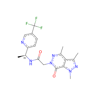 Cc1nn(CC(=O)N[C@@H](C)c2ccc(C(F)(F)F)cn2)c(=O)c2c1c(C)nn2C